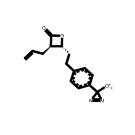 C=CC[C@H]1C(=O)O[C@@H]1CCc1ccc(C2(C(F)(F)F)N=N2)cc1